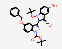 CC(C)(C)OC(=O)n1nc(C2C(=C=O)c3cc(O)ccc3N2OC(C)(C)C)c2cc(OCc3ccccc3)ccc21